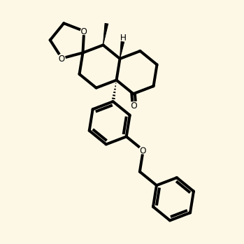 C[C@H]1[C@@H]2CCCC(=O)[C@@]2(c2cccc(OCc3ccccc3)c2)CCC12OCCO2